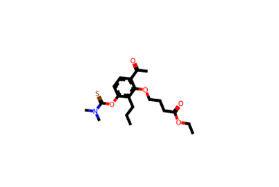 CCCc1c(OC(=S)N(C)C)ccc(C(C)=O)c1OCCCC(=O)OCC